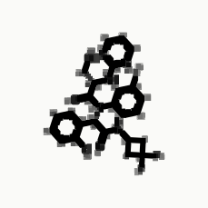 O=C(NC1CC(F)(F)C1)[C@H](c1ccccc1Cl)N(C(=O)[C@H](CO)Nc1ncccn1)c1cccc(F)c1